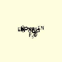 CCS(=O)(=O)c1ccc(CC(=O)Nc2ccc(OC(F)(F)F)c(-c3cccc(C#N)c3)c2)cc1